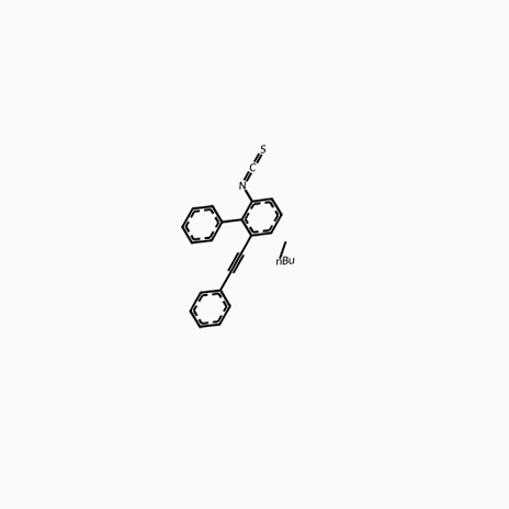 CCCCC.S=C=Nc1cccc(C#Cc2ccccc2)c1-c1ccccc1